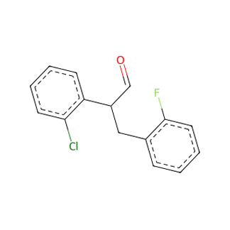 O=CC(Cc1ccccc1F)c1ccccc1Cl